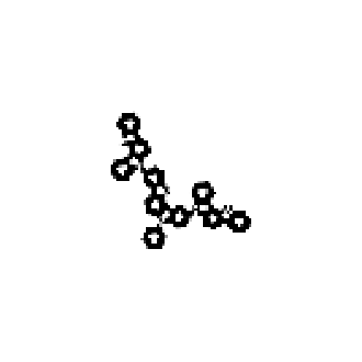 c1ccc(-n2c3ccc(-n4c5ccccc5c5c6oc7ccccc7c6ccc54)cc3c3c4sc5ccc(-n6c7ccccc7c7c8sc9ccccc9c8ccc76)cc5c4ccc32)cc1